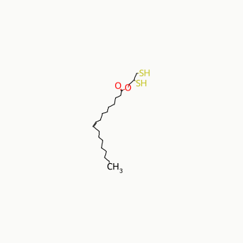 CCCCCCCC/C=C\CCCCCCCC(=O)OCC(S)CS